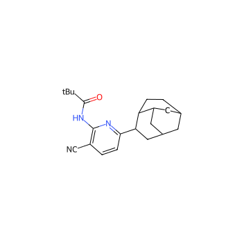 CC(C)(C)C(=O)Nc1nc(C2CC3CC4CCC2C(C4)C3)ccc1C#N